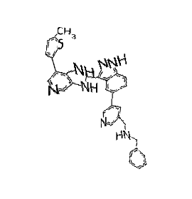 Cc1ccc(-c2cncc3c2NC(c2n[nH]c4ccc(-c5cncc(CNCc6ccccc6)c5)cc24)N3)s1